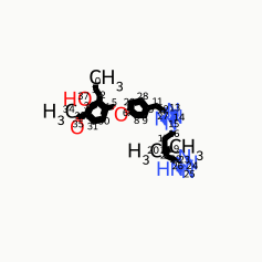 CCCc1c(COc2ccc(Cc3nnn(CCC(C)(C)Cc4nnn[nH]4)n3)cc2)ccc(C(C)=O)c1O